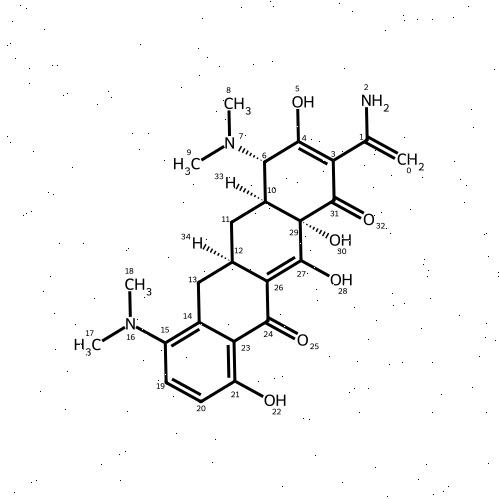 C=C(N)C1=C(O)[C@@H](N(C)C)[C@@H]2C[C@@H]3Cc4c(N(C)C)ccc(O)c4C(=O)C3=C(O)[C@]2(O)C1=O